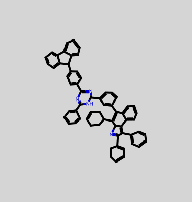 C1=CCCC(C2=NC3C(=C2c2ccccc2)c2ccccc2C(c2cccc(C4N=C(c5ccc(C6c7ccccc7-c7ccccc76)cc5)N=C(c5ccccc5)N4)c2)=C3C2CC=CCC2)=C1